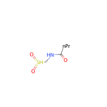 CCCC(=O)NC[SH](=O)=O